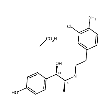 CC(=O)O.C[C@H](NCCc1ccc(N)c(Cl)c1)[C@H](O)c1ccc(O)cc1